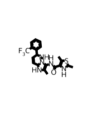 CC1=C(NC(=O)C2=C(C)SC(C)N2)N2NC(c3ccccc3C(F)(F)F)C=CC2N1